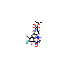 C=C(C)OC(=O)N1CCC(Nc2cc(C)c(F)cc2[N+](=O)[O-])CC1